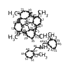 Cc1ccc(F)c([B-](c2c(F)ccc(C)c2F)(c2c(F)ccc(C)c2F)c2c(F)ccc(C)c2F)c1F.Cc1ccccc1C[NH2+]Cc1ccccc1C